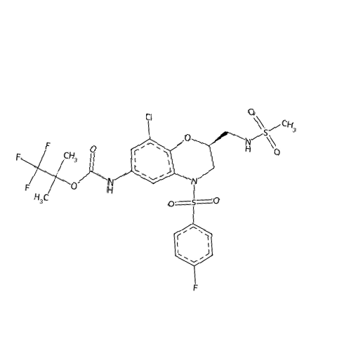 CC(C)(OC(=O)Nc1cc(Cl)c2c(c1)N(S(=O)(=O)c1ccc(F)cc1)C[C@H](CNS(C)(=O)=O)O2)C(F)(F)F